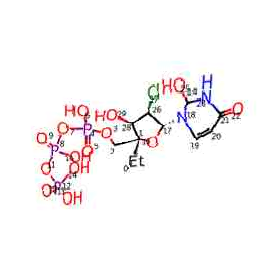 CC[C@]1(COP(=O)(O)OP(=O)(O)OP(=O)(O)O)O[C@@H](N2C=CC(=O)NC2O)[C@H](Cl)[C@@H]1O